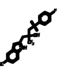 CC(C)(CC(O)(Cc1cc2cc(C#N)ccc2[nH]1)C(F)(F)F)c1ccc(F)cc1